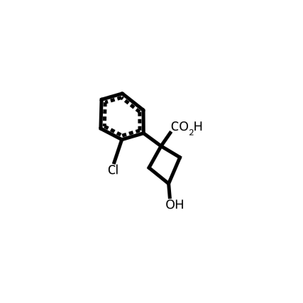 O=C(O)C1(c2ccccc2Cl)CC(O)C1